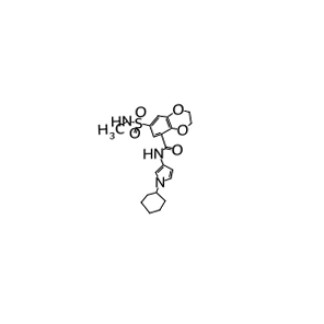 CNS(=O)(=O)c1cc2c(c(C(=O)Nc3ccn(C4CCCCC4)c3)c1)OCCO2